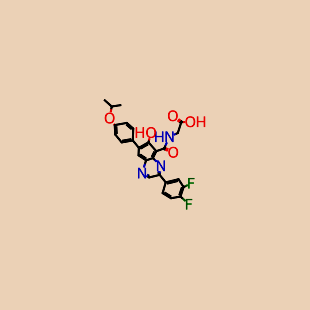 CC(C)Oc1ccc(-c2cc3ncc(-c4ccc(F)c(F)c4)nc3c(C(=O)NCC(=O)O)c2O)cc1